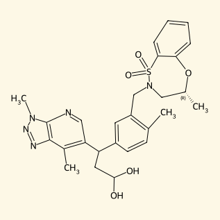 Cc1ccc(C(CC(O)O)c2cnc3c(nnn3C)c2C)cc1CN1C[C@@H](C)Oc2ccccc2S1(=O)=O